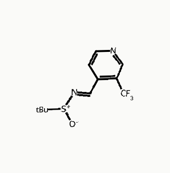 CC(C)(C)[S+]([O-])N=Cc1ccncc1C(F)(F)F